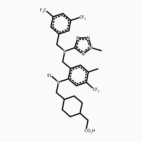 CCN(CC1CCC(CC(=O)O)CC1)c1cc(C(F)(F)F)c(C)cc1CN(Cc1cc(C(F)(F)F)cc(C(F)(F)F)c1)c1nnn(C)n1